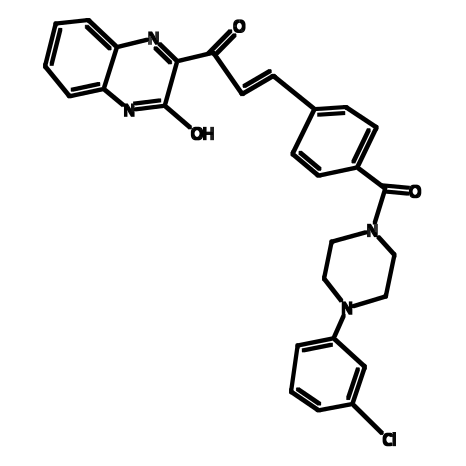 O=C(C=Cc1ccc(C(=O)N2CCN(c3cccc(Cl)c3)CC2)cc1)c1nc2ccccc2nc1O